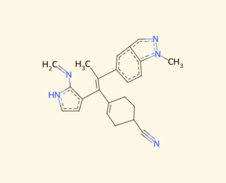 C=Nc1[nH]ccc1/C(C1=CCC(C#N)CC1)=C(\C)c1ccc2c(cnn2C)c1